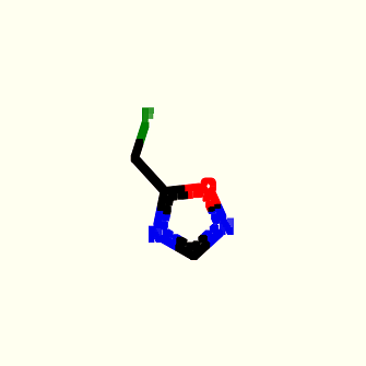 FCc1ncno1